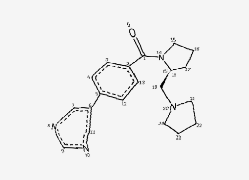 O=C(c1ccc(-c2cncnc2)cc1)N1CCC[C@H]1CN1CCCC1